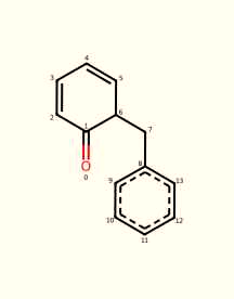 O=C1C=CC=CC1Cc1ccccc1